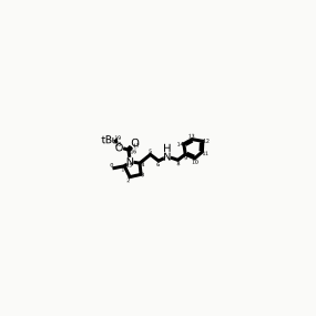 CC1CCC(CCNCc2ccccc2)N1C(=O)OC(C)(C)C